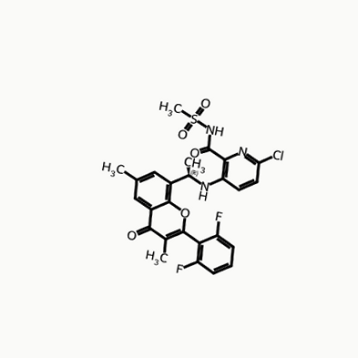 Cc1cc([C@@H](C)Nc2ccc(Cl)nc2C(=O)NS(C)(=O)=O)c2oc(-c3c(F)cccc3F)c(C)c(=O)c2c1